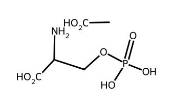 CC(=O)O.NC(COP(=O)(O)O)C(=O)O